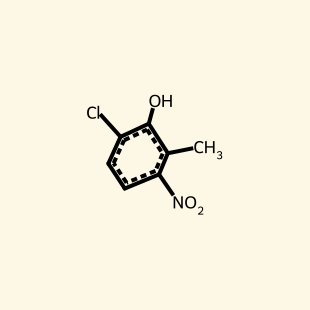 Cc1c([N+](=O)[O-])ccc(Cl)c1O